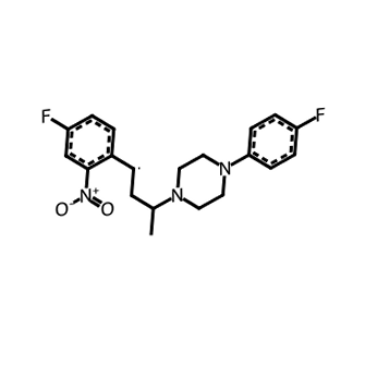 CC(C[CH]c1ccc(F)cc1[N+](=O)[O-])N1CCN(c2ccc(F)cc2)CC1